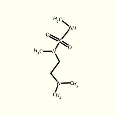 CNS(=O)(=O)N(C)CCN(C)C